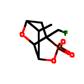 CC1C2CC3(CF)C(O2)C1OS3(=O)=O